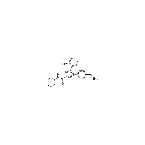 NCc1ccc(-n2cc(C(=O)NC3CCCCC3)nc2-c2ccccc2Cl)cc1